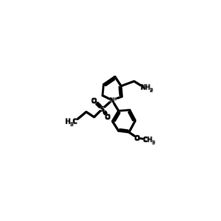 CCCS(=O)(=O)[N+]1(c2ccc(OC)cc2)C=C(CN)C=CC1